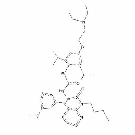 CCCCn1c(=O)c(NC(=O)Nc2c(C(C)C)cc(OCCN(CC)CC)cc2C(C)C)c(-c2cccc(OC)c2)c2cccnc21